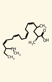 CCC(/C=C\C/C=C\C/C=C\C/C=C\C(C)CC(C)C(=O)O)PC